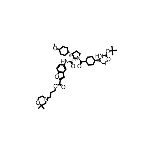 COC1CCC([C@@H]2CCN(C(=O)C3CCC([C@@H](CF)NC(=O)OC(C)(C)C)CC3)[C@@H]2C(=O)Nc2ccc3oc(C(=O)OCCCN4CCOC(C)(C)C4)cc3c2)CC1